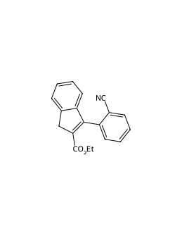 CCOC(=O)C1=C(c2ccccc2C#N)c2ccccc2C1